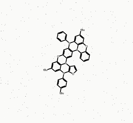 CC(C)(C)c1ccc(N2c3cc(C(C)(C)C)cc4c3B(c3cc5c(cc3O4)N(c3ccccc3)c3cc(C(C)(C)C)cc4c3B5c3ccccc3O4)c3ccoc32)cc1